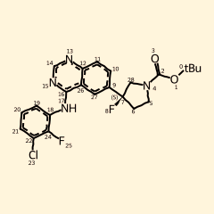 CC(C)(C)OC(=O)N1CC[C@](F)(c2ccc3ncnc(Nc4cccc(Cl)c4F)c3c2)C1